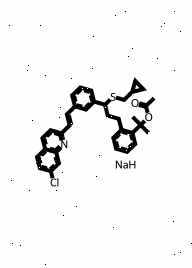 CC(=O)OC(C)(C)c1ccccc1CCC(SCC1CC1)c1cccc(/C=C/c2ccc3ccc(Cl)cc3n2)c1.[NaH]